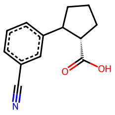 N#Cc1cccc(C2CCC[C@@H]2C(=O)O)c1